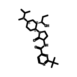 CCC(O)[C@H]1C[C@H](N(C)C(C)C)CC[C@@H]1N1CCC(NC(=O)c2ccnc(C(C)(C)C)n2)C1=O